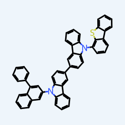 c1ccc(-c2cc(-n3c4ccccc4c4cc(-c5ccc6c(c5)c5ccccc5n6-c5cccc6c5sc5ccccc56)ccc43)cc3ccccc23)cc1